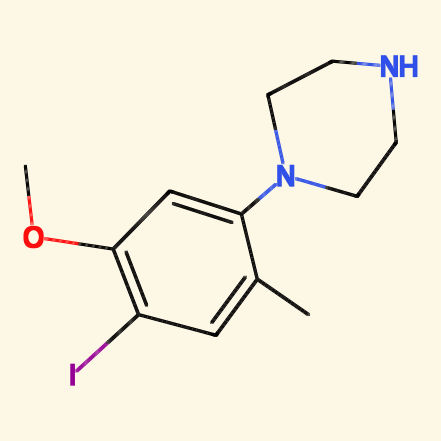 COc1cc(N2CCNCC2)c(C)cc1I